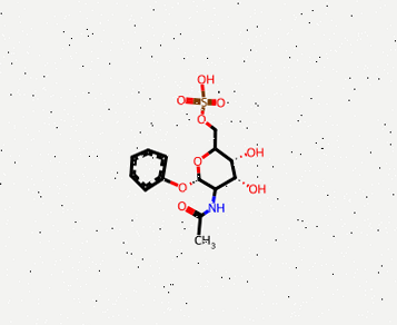 CC(=O)NC1[C@H](Oc2ccccc2)OC(COS(=O)(=O)O)[C@H](O)[C@@H]1O